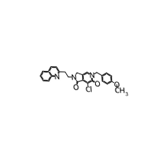 COc1ccc(Cn2cc3c(c(Cl)c2=O)C(=O)N(CCc2ccc4ccccc4n2)C3)cc1